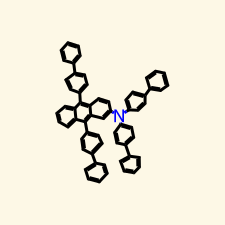 c1ccc(-c2ccc(-c3c4ccccc4c(-c4ccc(-c5ccccc5)cc4)c4cc(N(c5ccc(-c6ccccc6)cc5)c5ccc(-c6ccccc6)cc5)ccc34)cc2)cc1